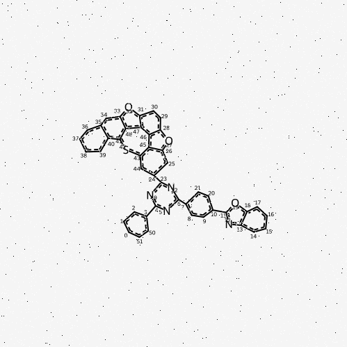 c1ccc(-c2nc(-c3ccc(-c4nc5ccccc5o4)cc3)nc(-c3cc4oc5ccc6oc7cc8ccccc8c8sc(c3)c4c5c6c78)n2)cc1